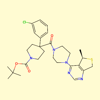 C[C@H]1SCc2ncnc(N3CCN(C(=O)C4(c5cccc(Cl)c5)CCN(C(=O)OC(C)(C)C)CC4)CC3)c21